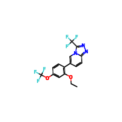 CCOc1cc(OC(F)(F)F)ccc1-c1ccc2nnc(C(F)(F)F)n2c1